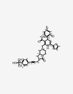 COC(=O)C1=C(CN2CCN3C(=O)N(CC#Cc4ccc(C(C)(C)O)cc4)CC3C2)NC(c2nccs2)=NC1c1ccc(F)cc1Cl